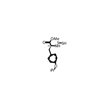 COC(=O)[C@H](Cc1ccc(OC(C)C)cc1)NSS